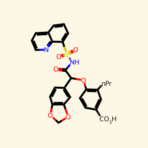 CCCc1cc(C(=O)O)ccc1OC(C(=O)NS(=O)(=O)c1cccc2cccnc12)c1ccc2c(c1)OCO2